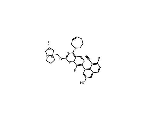 C#Cc1c(F)ccc2cc(O)cc(-c3ncc4c(N5CC=CCCC5)nc(OC[C@@]56CCCN5C[C@H](F)C6)nc4c3F)c12